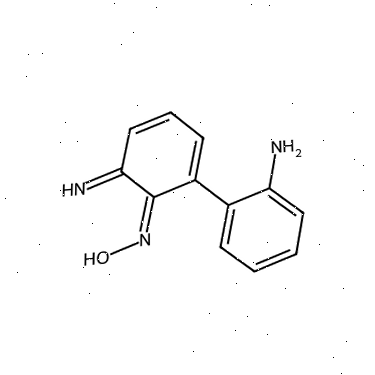 N=C1C=CC=C(c2ccccc2N)/C1=N/O